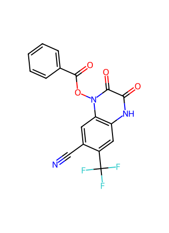 N#Cc1cc2c(cc1C(F)(F)F)[nH]c(=O)c(=O)n2OC(=O)c1ccccc1